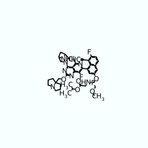 C#Cc1c(F)ccc2cc(OP(COC)NCC(=O)OC(C)C)cc(-c3nc(Cl)c4c(N5CC6CC(C5)N6)nc(OCC56CCCN5CCC6)nc4c3F)c12